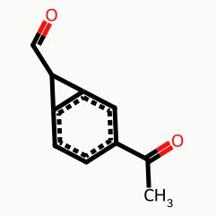 CC(=O)c1ccc2c(c1)C2C=O